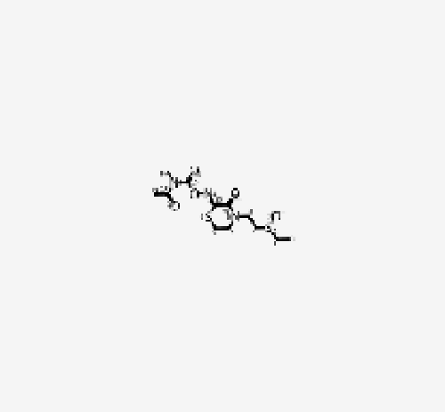 CC[S+]([O-])CCN1CCSC(=NOC(=O)N(C)C(C)=O)C1=O